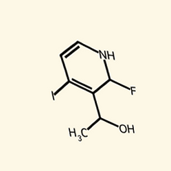 CC(O)C1=C(I)C=CNC1F